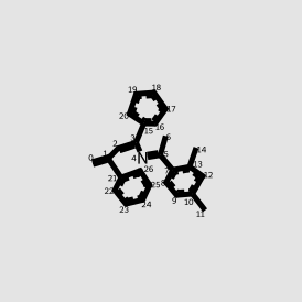 C=C(/C=C(\N=C(/C)c1ccc(C)cc1C)c1ccccc1)c1ccccc1